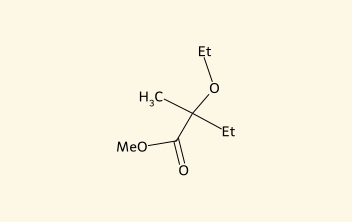 CCOC(C)(CC)C(=O)OC